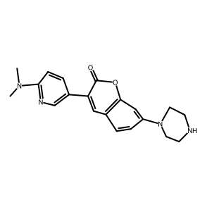 CN(C)c1ccc(-c2cc3ccc(N4CCNCC4)cc3oc2=O)cn1